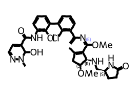 C=C(/N=C(/OC)C1=C(C)C[C@H](OC)[C@@H]1NC[C@@H]1CCC(=O)N1)c1cccc(-c2cccc(NC(=O)C3=CC=NN(C)C3O)c2Cl)c1Cl